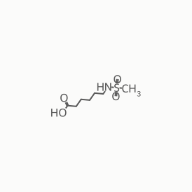 CS(=O)(=O)NCCCCCC(=O)O